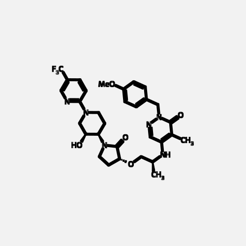 COc1ccc(Cn2ncc(N[C@@H](C)CO[C@@H]3CCN([C@@H]4CCN(c5ccc(C(F)(F)F)cn5)C[C@@H]4O)C3=O)c(C)c2=O)cc1